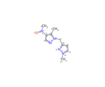 Cc1c([N+](C)=O)cnn1Cc1ccn(C)n1